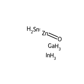 [GaH3].[InH3].[O]=[Zn].[SnH2]